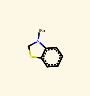 CC(C)(C)N1[CH]Sc2ccccc21